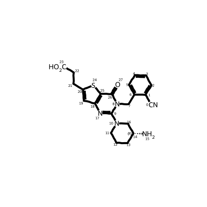 N#Cc1ccccc1Cn1c(N2CCC[C@@H](N)C2)nc2cc(CCC(=O)O)sc2c1=O